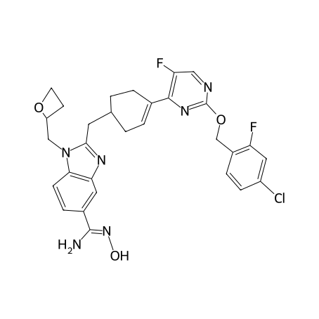 NC(=NO)c1ccc2c(c1)nc(CC1CC=C(c3nc(OCc4ccc(Cl)cc4F)ncc3F)CC1)n2CC1CCO1